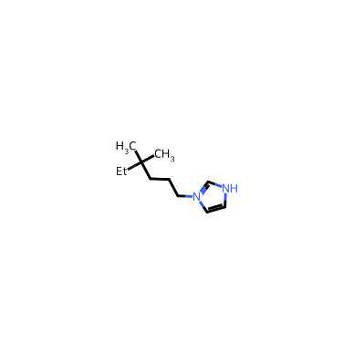 CCC(C)(C)CCC[n+]1cc[nH]c1